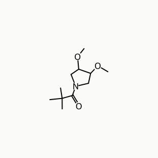 COC1CN(C(=O)C(C)(C)C)CC1OC